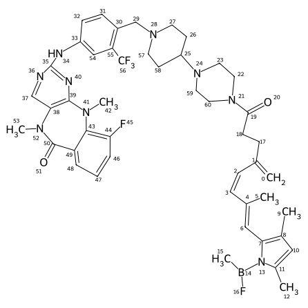 C=C(/C=C\C(C)=C\c1c(C)cc(C)n1B(C)F)CCC(=O)N1CCN(C2CCN(Cc3ccc(Nc4ncc5c(n4)N(C)c4c(F)cccc4C(=O)N5C)cc3C(F)(F)F)CC2)CC1